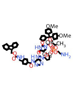 COc1ccc(C(OC[C@@H](OC(C)n2cc(C)c(=O)[nH]c2=O)C(C)OP(=O)(OCCN)OC[C@@H]2CCC(n3cnc4c(NC(=O)c5ccc(CNC(=O)OCC6c7ccccc7-c7ccccc76)cc5)ncnc43)O2)(c2ccccc2)c2ccc(OC)cc2)cc1